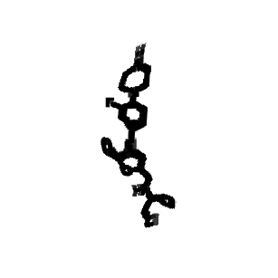 O=C(CCl)NCC1CN(c2ccc(N3CCNCC3)c(F)c2)C(=O)O1